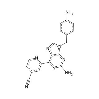 N#Cc1ccnc(-c2nc(N)nc3c2ncn3Cc2ccc(N)cc2)c1